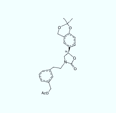 CC(=O)OCc1cccc(CCN2C[C@@H](c3ccc4c(c3)COC(C)(C)O4)OC2=O)c1